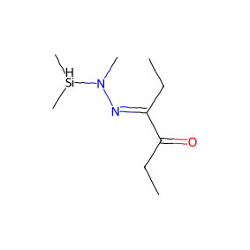 CCC(=O)C(CC)=NN(C)[SiH](C)C